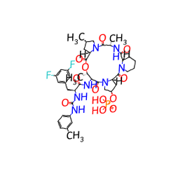 Cc1cccc(NC(=O)N[C@@H](Cc2cc(F)cc(F)c2)C(=O)N[C@@H]2C(=O)N3C[C@H](OP(=O)(O)O)C[C@H]3C(=O)N3CCCC[C@H]3C(=O)N[C@@H](C)C(=O)N3C[C@H](C)C[C@H]3C(=O)O[C@H]2C)c1